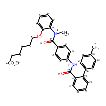 CCOC(=O)CCCCCOc1ccccc1N(C)C(=O)c1ccc(NC(=O)c2ccccc2-c2ccc(C)cc2)cc1